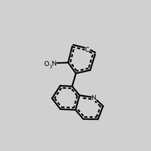 O=[N+]([O-])c1ccccc1-c1cccc2cccnc12